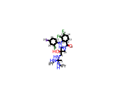 CC(C)NC(C)(NCC1(O)CN(C(=O)c2ccc(F)c(F)c2Nc2ccc(I)cc2F)C1)NC(C)C